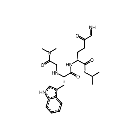 CC(C)SC(=O)[C@H](CCC(=O)C=N)NC(=O)[C@H](Cc1c[nH]c2ccccc12)NCC(=O)N(C)C